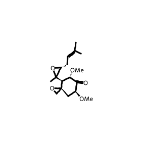 CO[C@H]1C[C@]2(CO2)[C@@H](C2(C)O[C@@H]2CC=C(C)C)[C@H](OC)C1=O